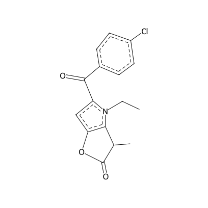 CCn1c(C(=O)c2ccc(Cl)cc2)cc2c1C(C)C(=O)O2